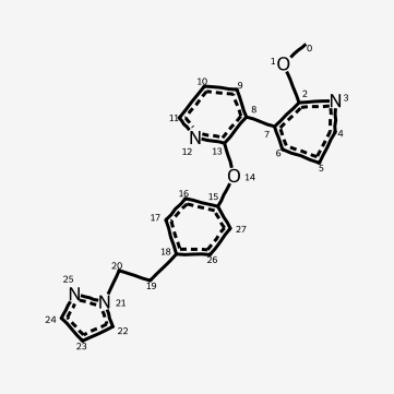 COc1ncccc1-c1cccnc1Oc1ccc(CCn2cccn2)cc1